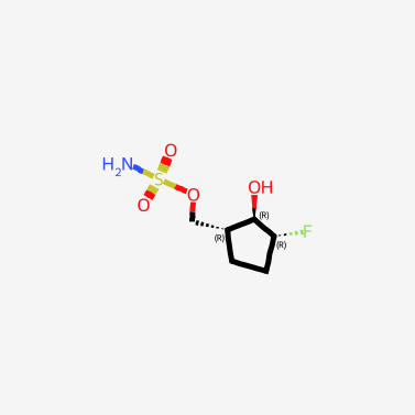 NS(=O)(=O)OC[C@H]1CC[C@@H](F)[C@@H]1O